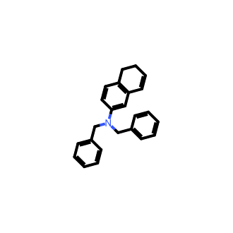 C1=Cc2cc(N(Cc3ccccc3)Cc3ccccc3)ccc2CC1